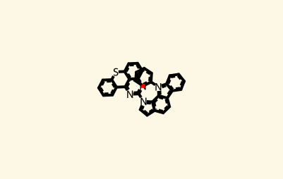 c1ccc(-n2c3ccccc3c3ccc4ccn(-c5nc6c7c(cccc7n5)Sc5ccccc5-6)c4c32)cc1